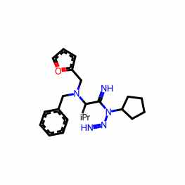 CC(C)C(C(=N)N(N=N)C1CCCC1)N(Cc1ccccc1)Cc1ccco1